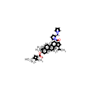 C=C(C)[C@@H]1CC[C@]2(C(=O)N3CCC[C@H]3Cn3cccc3)CC[C@]3(C)[C@H](CC[C@@H]4[C@@]5(C)CC[C@H](OC(=O)[C@H]6C[C@@H](C(=O)O)C6(C)C)C(C)(C)[C@@H]5CC[C@]43C)[C@@H]12